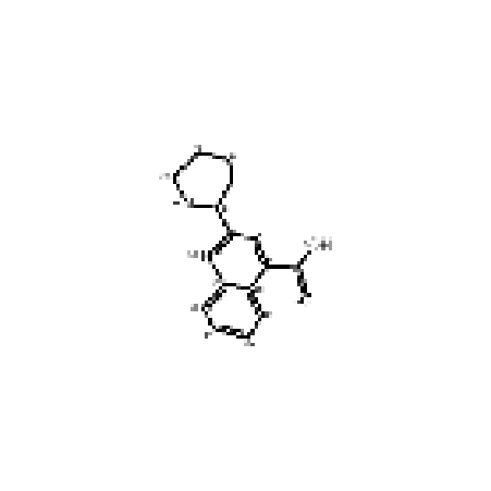 O=C(O)c1cc(C2CCCCN2)nc2ccccc12